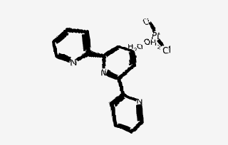 O.O.[Cl][Pt][Cl].c1ccc(-c2cccc(-c3ccccn3)n2)nc1